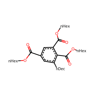 CCCCCCCCCCc1cc(C(=O)OCCCCCC)cc(C(=O)OCCCCCC)c1C(=O)OCCCCCC